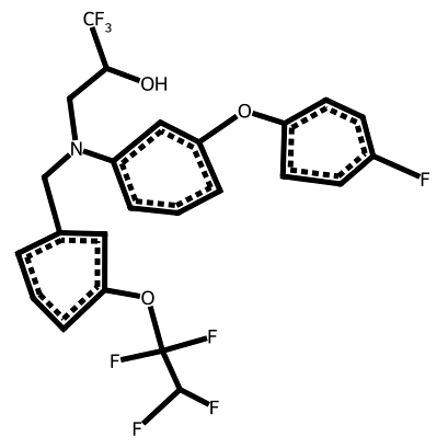 OC(CN(Cc1cccc(OC(F)(F)C(F)F)c1)c1cccc(Oc2ccc(F)cc2)c1)C(F)(F)F